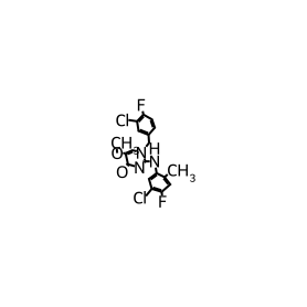 COc1cn(Cc2ccc(F)c(Cl)c2)c(Nc2cc(Cl)c(F)cc2C)nc1=O